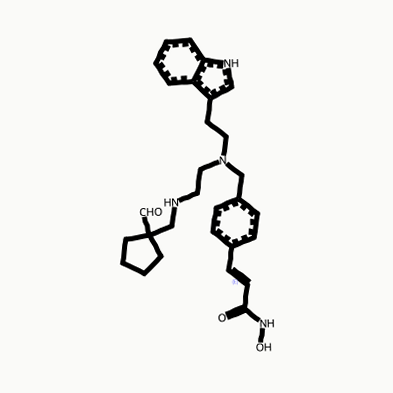 O=CC1(CNCCN(CCc2c[nH]c3ccccc23)Cc2ccc(/C=C/C(=O)NO)cc2)CCCC1